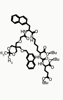 CC(C)(C)OC(=O)CCC(NC(=O)NC(CCCCNC(=O)C(Cc1ccc2ccccc2c1)NC(=O)COCC1(COCc2ccc3ccccc3c2)COC(C)(C)OC1)C(=O)OC(C)(C)C)C(=O)OC(C)(C)C